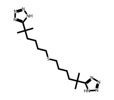 CC(C)(CCCCSCCCCC(C)(C)c1nnn[nH]1)c1nnn[nH]1